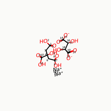 O=C(O)CC(O)(CC(=O)O)C(=O)O.O=C([O-])C(O)C(O)C(=O)[O-].[Na+].[Na+]